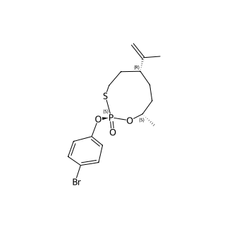 C=C(C)[C@H]1CCS[P@](=O)(Oc2ccc(Br)cc2)O[C@@H](C)CC1